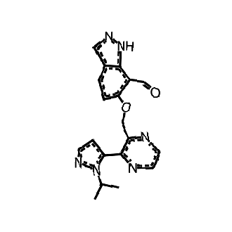 CC(C)n1nccc1-c1nccnc1COc1ccc2cn[nH]c2c1C=O